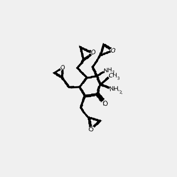 CC1(N)C(=O)C(CC2CO2)C(CC2CO2)C(CC2CO2)C1(N)CC1CO1